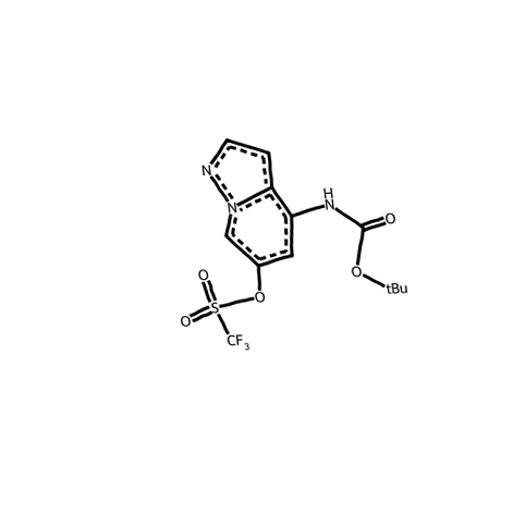 CC(C)(C)OC(=O)Nc1cc(OS(=O)(=O)C(F)(F)F)cn2nccc12